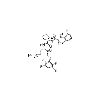 O=C(O)CC[C@H](NC(=O)C1(NC(=O)C(=O)Nc2c(F)cccc2F)CCCC1)C(=O)COc1c(F)c(F)cc(F)c1F